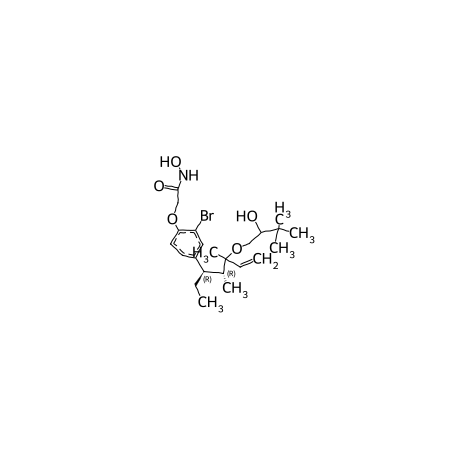 C=CC(C)(OCC(O)C(C)(C)C)[C@H](C)[C@@H](CC)c1ccc(OCC(=O)NO)c(Br)c1